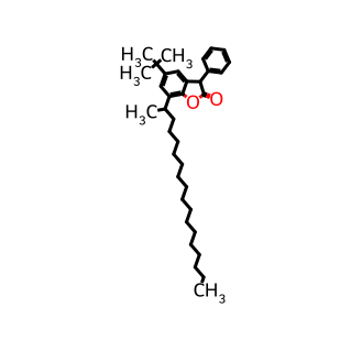 CCCCCCCCCCCCCCCCC(C)c1cc(C(C)(C)C)cc2c1OC(=O)C2c1ccccc1